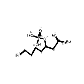 CCCCC(CC)CC(CCCCC(C)C)OP(=O)(O)O